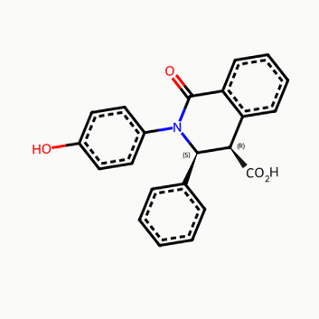 O=C(O)[C@@H]1c2ccccc2C(=O)N(c2ccc(O)cc2)[C@@H]1c1ccccc1